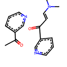 CC(=O)c1cccnc1.CN(C)C=CC(=O)c1cccnc1